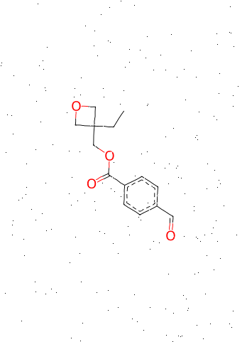 CCC1(COC(=O)c2ccc(C=O)cc2)COC1